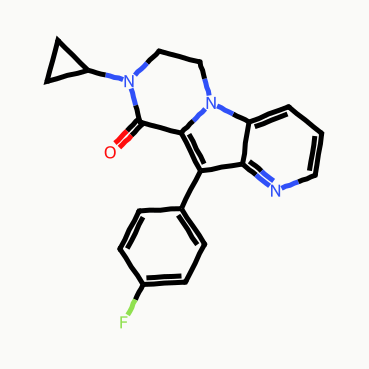 O=C1c2c(-c3ccc(F)cc3)c3ncccc3n2CCN1C1CC1